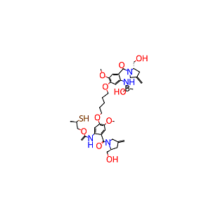 C=C1C[C@@H](CO)N(C(=O)c2cc(OC)c(OCCCCCOc3cc(NC(=C)OC[C@@H](C)S)c(C(=O)N4CC(=C)C[C@H]4CO)cc3OC)cc2NB(C)O)C1